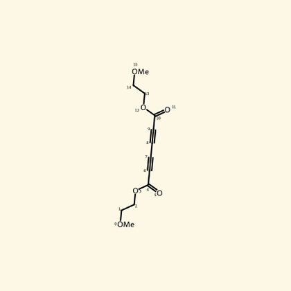 COCCOC(=O)C#CC#CC(=O)OCCOC